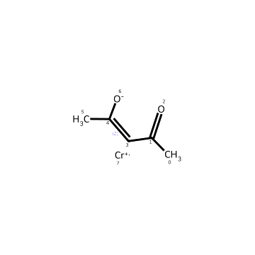 CC(=O)/C=C(/C)[O-].[Cr+]